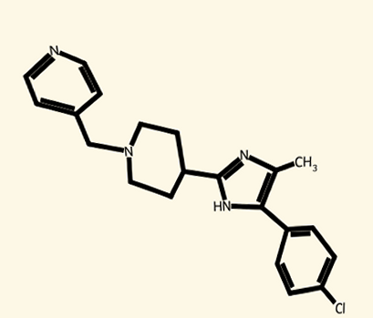 Cc1nc(C2CCN(Cc3ccncc3)CC2)[nH]c1-c1ccc(Cl)cc1